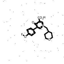 O=C(O)c1cn(CC2CCOCC2)cc(-c2ccc(OF)cc2)c1=O